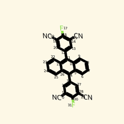 N#Cc1cc(-c2c3ccccc3c(-c3cc(C#N)c(F)c(C#N)c3)c3ccccc23)cc(C#N)c1F